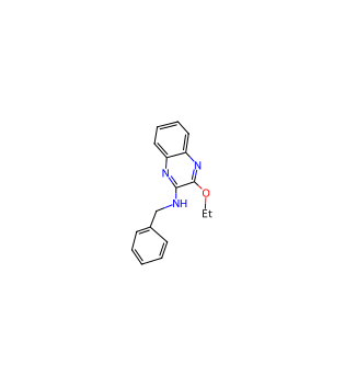 CCOc1nc2ccccc2nc1NCc1ccccc1